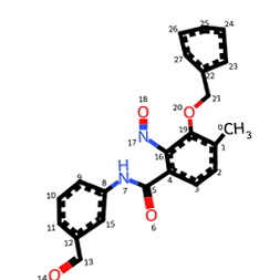 Cc1ccc(C(=O)Nc2cccc(C=O)c2)c(N=O)c1OCc1ccccc1